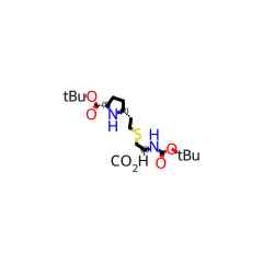 CC(C)(C)OC(=O)N[C@@H](CSCC[C@H]1CC[C@@H](C(=O)OC(C)(C)C)N1)C(=O)O